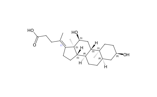 C/C(CCC(=O)O)=C1/CC[C@H]2[C@@H]3CC[C@@H]4C[C@H](O)CC[C@]4(C)[C@H]3C[C@H](O)[C@]12C